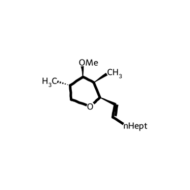 CCCCCCCC=C[C@H]1OC[C@H](C)[C@@H](OC)[C@H]1C